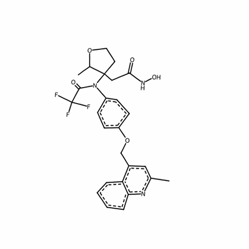 Cc1cc(COc2ccc(N(C(=O)C(F)(F)F)C3(CC(=O)NO)CCOC3C)cc2)c2ccccc2n1